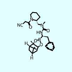 CN(C[C@H]1CCCCN1C(=O)CC#N)C(=O)N[C@@H](Cc1ccccc1)B1OC2C[C@@H]3C[C@@H](C3(C)C)[C@]2(C)O1